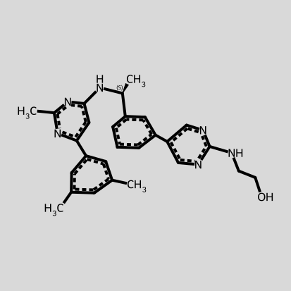 Cc1cc(C)cc(-c2cc(N[C@@H](C)c3cccc(-c4cnc(NCCO)nc4)c3)nc(C)n2)c1